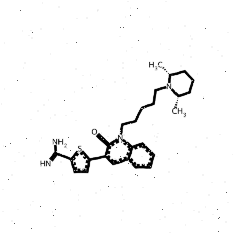 C[C@@H]1CCC[C@H](C)N1CCCCCn1c(=O)c(-c2ccc(C(=N)N)s2)cc2ccccc21